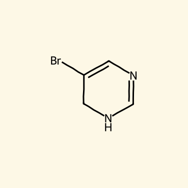 BrC1=CN=CNC1